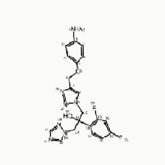 CC(=O)Nc1ccc(OCc2cn(CC(O)(Cn3cncn3)c3ccc(F)cc3F)nn2)cc1